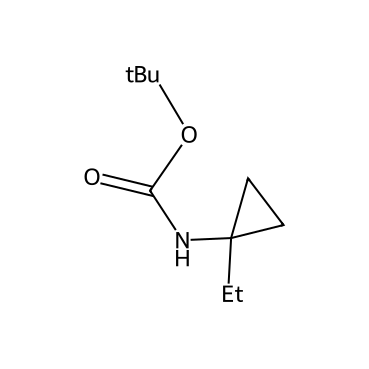 CCC1(NC(=O)OC(C)(C)C)CC1